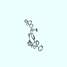 C[C@@H]1C(CNc2ccc3ccc(=O)oc3c2)OC(OC(=O)c2ccccc2)C([18F])[C@H]1C